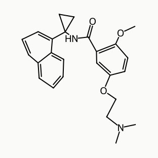 COc1ccc(OCCN(C)C)cc1C(=O)NC1(c2cccc3ccccc23)CC1